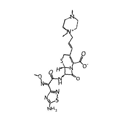 CO/N=C(\C(=O)N[C@@H]1C(=O)N2C(C(=O)[O-])=C(/C=C/C[N+]3(C)CCN(C)CC3)CS[C@@H]12)c1nsc(N)n1